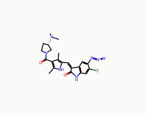 Cc1[nH]c(/C=C2\C(=O)Nc3cc(Cl)c(N=[N+]=[N-])cc32)c(C)c1C(=O)N1CC[C@H](N(C)C)C1